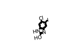 Oc1nc2cc(I)c(Cl)cc2[nH]1